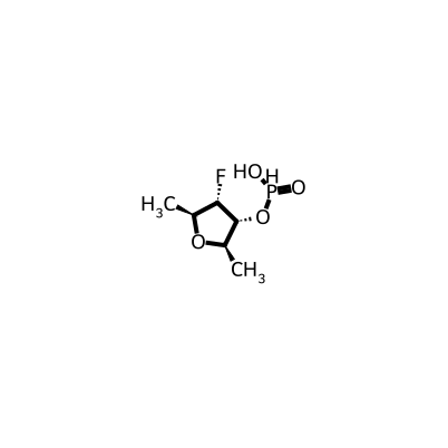 C[C@@H]1O[C@H](C)[C@@H](O[PH](=O)O)[C@H]1F